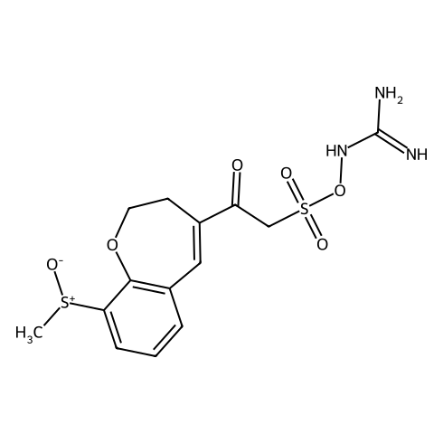 C[S+]([O-])c1cccc2c1OCCC(C(=O)CS(=O)(=O)ONC(=N)N)=C2